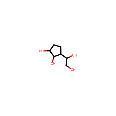 OCC(O)C1CCC(O)C1O